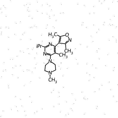 Cc1noc(C)c1-c1nc(C(C)C)nc(N2CCN(C)CC2)c1C